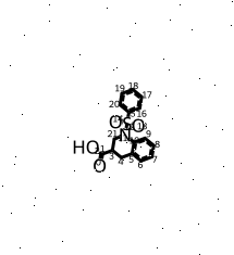 O=C(O)C1Cc2ccccc2N(S(=O)(=O)c2ccccc2)C1